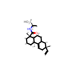 C=C[C@]1(C)CC=C2C(CCC3[C@@](C)(C(=O)N[C@H](C)C(=O)O)CCC[C@]23C)C1